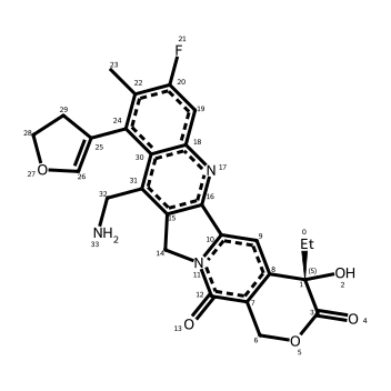 CC[C@@]1(O)C(=O)OCc2c1cc1n(c2=O)Cc2c-1nc1cc(F)c(C)c(C3=COCC3)c1c2CN